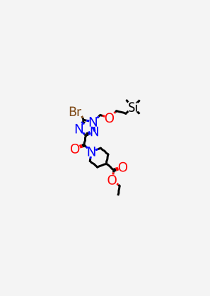 CCOC(=O)C1CCN(C(=O)c2nc(Br)n(COCC[Si](C)(C)C)n2)CC1